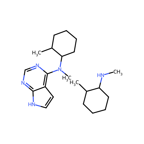 CC1CCCCC1N(C)c1ncnc2[nH]ccc12.CNC1CCCCC1C